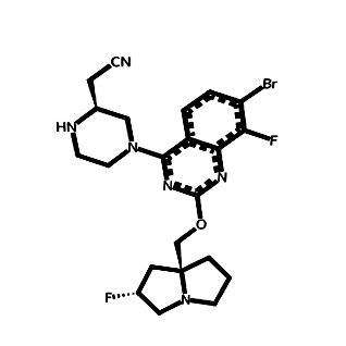 N#CC[C@H]1CN(c2nc(OC[C@@]34CCCN3C[C@H](F)C4)nc3c(F)c(Br)ccc23)CCN1